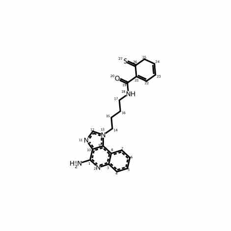 Nc1nc2ccccc2c2c1ncn2CCCCNC(=O)C1=CC=CCC1=S